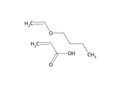 C=CC(=O)O.C=COCCCC